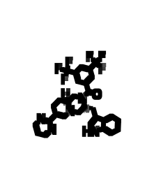 O=C(c1cc(C(F)(F)F)cc(C(F)(F)F)c1)N1C[C@H]2CCC(c3ncccn3)=CN2C[C@H]1Cc1c[nH]c2ccccc12